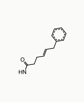 [NH]C(=O)CC/C=C/Cc1ccccc1